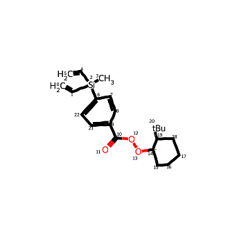 C=C[Si](C)(C=C)c1ccc(C(=O)OO[C]2CCCCC2C(C)(C)C)cc1